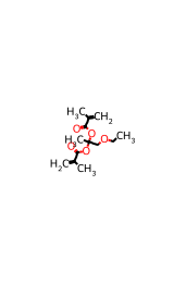 C=C(C)C(=O)OC(C)(COCC)OC(=O)C(=C)C